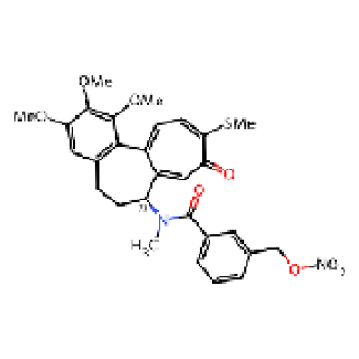 COc1cc2c(c(OC)c1OC)-c1ccc(SC)c(=O)cc1[C@@H](N(C)C(=O)c1cccc(CO[N+](=O)[O-])c1)CC2